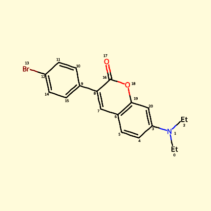 CCN(CC)c1ccc2cc(-c3ccc(Br)cc3)c(=O)oc2c1